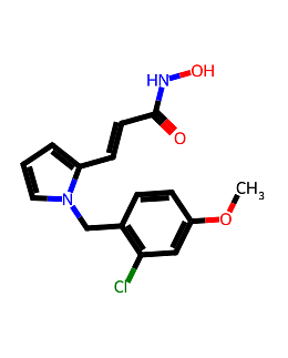 COc1ccc(Cn2cccc2/C=C/C(=O)NO)c(Cl)c1